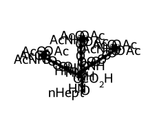 CCCCCCCC(=O)NCCCC[C@H](NC(=O)[C@H](CCCCNC(=O)COCCOCCOCCO[C@@H]1O[C@H](COC(C)=O)[C@H](OC(C)=O)C(OC(C)=O)[C@H]1NC(C)=O)NC(=O)[C@H](CCCCNC(=O)COCCOCCOCCO[C@@H]1O[C@H](COC(C)=O)[C@H](OC(C)=O)[C@H](OC(C)=O)[C@H]1NC(C)=O)NC(=O)COCCOCCOCCO[C@@H]1O[C@H](COC(C)=O)[C@H](OC(C)=O)[C@H](OC(C)=O)[C@H]1NC(C)=O)C(=O)O